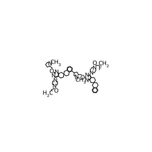 C=CC(=O)N1CCN(c2nc(OCC3CCCN3C)nc3c2CCC2(CCc4c(cccc4C4CC(COc5nc6c(c(N7CCN(C(=O)C(=C)F)CC7)n5)CCC5(CCc7ccccc7C5)C6)N(C)C4)C2)C3)CC1